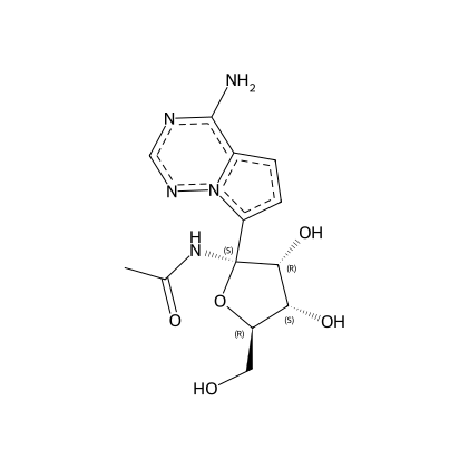 CC(=O)N[C@@]1(c2ccc3c(N)ncnn23)O[C@H](CO)[C@@H](O)[C@H]1O